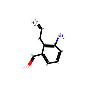 C=CCc1c(N)cccc1C=O